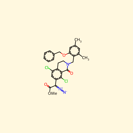 COC(=O)C(=[N+]=[N-])c1cc(Cl)c2c(c1Cl)C(=O)N(Cc1c(C)cc(C)cc1OCc1ccccc1)CC2